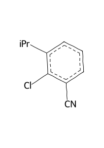 CC(C)c1cccc(C#N)c1Cl